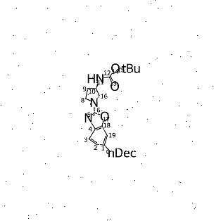 CCCCCCCCCCc1ccc2nc(N3CC[C@@H](NC(=O)OC(C)(C)C)C3)oc2c1